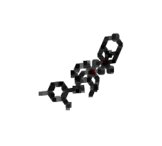 COc1c(Nc2ccc(C)cc2F)ncnc1OC1CC2COCC(C1)N2C(=O)OC(CF)CF